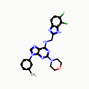 Cc1cccc(-n2cnc3c(NCc4nc5ccc(F)c(F)c5[nH]4)nc(N4CCOCC4)nc32)c1